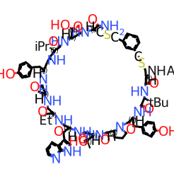 CC[C@]1(C)NC(=O)[C@H](Cc2c[nH]c3ncccc23)NC(=O)[C@H]([C@@H](C)O)NC(=O)[C@@H]2CCCN2C(=O)[C@H](Cc2ccc(O)cc2)NC(=O)C(C(C)(C)C)NC(=O)[C@@H](NC(C)=O)CSCc2cccc(c2)CSC[C@H](C(N)=O)NC(=O)[C@H]([C@@H](C)O)NC(=O)[C@@]2(C(C)C)C=C(N2)[C@H](Cc2ccc(O)cc2)NC(=O)[C@H](C)NC1=O